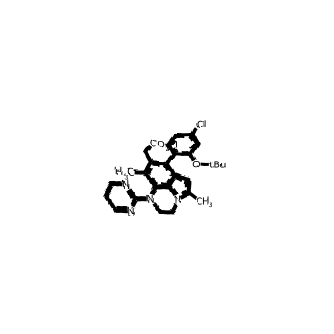 Cc1c(CC(=O)O)c(-c2ccc(Cl)cc2OC(C)(C)C)c2cc(C)n3c2c1N(C1=NCCC=N1)CC3